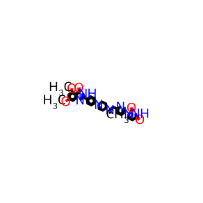 COc1cc(OC)c2c(=O)[nH]c(-c3ccc(N4CCC(N(C)Cc5ccc(N6CCC(=O)NC6=O)cn5)CC4)cc3)nc2c1